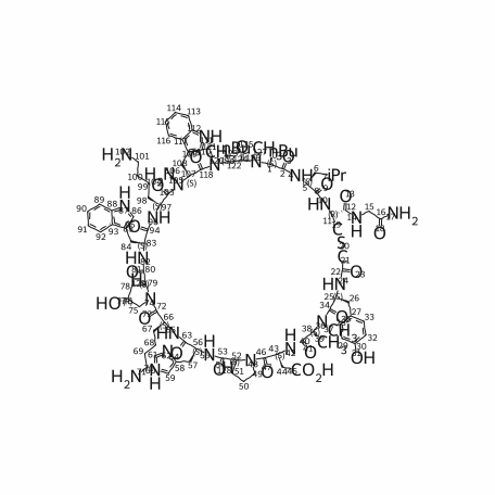 CCCC[C@H]1C(=O)N[C@@H](CC(C)C)C(=O)N[C@H](C(=O)NCC(N)=O)CSCC(=O)N[C@@H](Cc2ccc(O)cc2)C(=O)N(C)[C@@H](C)C(=O)N[C@@H](CC(=O)O)C(=O)N2CCC[C@H]2C(=O)N[C@@H](Cc2c[nH]cn2)C(=O)N[C@@H](CCCCN)C(=O)N2C[C@H](O)C[C@H]2C(=O)N[C@@H](Cc2c[nH]c3ccccc23)C(=O)N[C@@H](CCCCN)C(=O)N(N)[C@@H](Cc2c[nH]c3ccccc23)C(=O)N(C)[C@@H](CCCC)C(=O)N1C